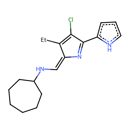 CCC1=C(Cl)C(c2ccc[nH]2)=N/C1=C/NC1CCCCCC1